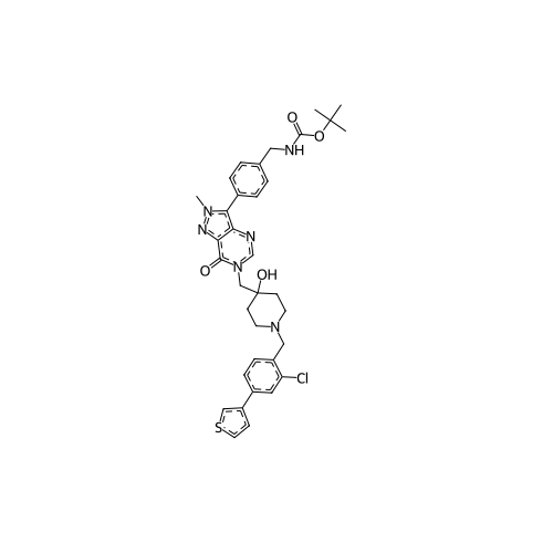 Cn1nc2c(=O)n(CC3(O)CCN(Cc4ccc(-c5ccsc5)cc4Cl)CC3)cnc2c1-c1ccc(CNC(=O)OC(C)(C)C)cc1